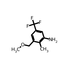 COCc1cc(C(F)(F)F)cc(N)c1C